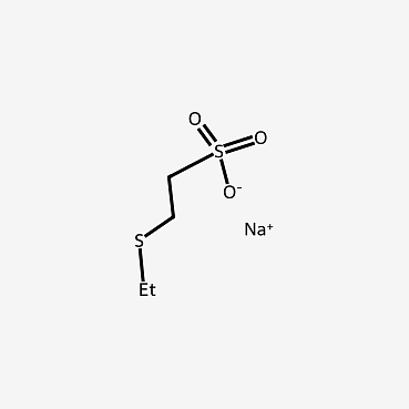 CCSCCS(=O)(=O)[O-].[Na+]